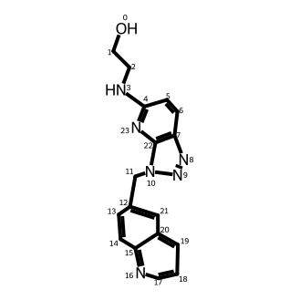 OCCNc1ccc2nnn(Cc3ccc4ncccc4c3)c2n1